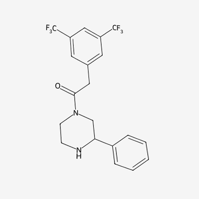 O=C(Cc1cc(C(F)(F)F)cc(C(F)(F)F)c1)N1CCNC(c2ccccc2)C1